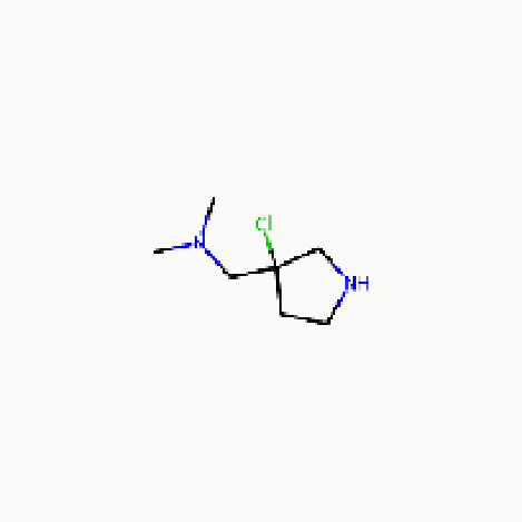 CN(C)CC1(Cl)CCNC1